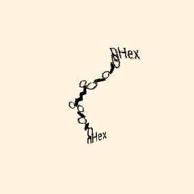 CCCCCCOCCOCCOC(=O)CCCCC(=O)OCCOCCOCCCCCC